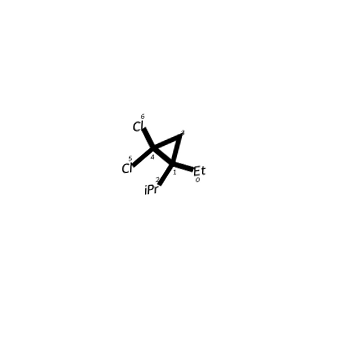 CCC1(C(C)C)CC1(Cl)Cl